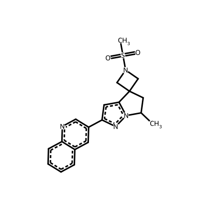 CC1CC2(CN(S(C)(=O)=O)C2)c2cc(-c3cnc4ccccc4c3)nn21